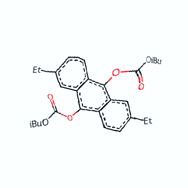 CCc1ccc2c(OC(=O)OCC(C)C)c3cc(CC)ccc3c(OC(=O)OCC(C)C)c2c1